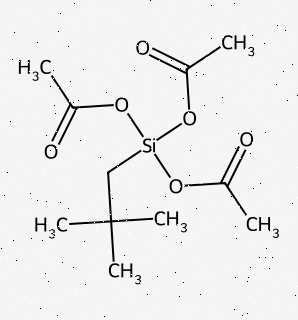 CC(=O)O[Si](CC(C)(C)C)(OC(C)=O)OC(C)=O